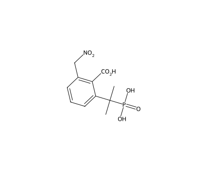 CC(C)(c1cccc(C[N+](=O)[O-])c1C(=O)O)P(=O)(O)O